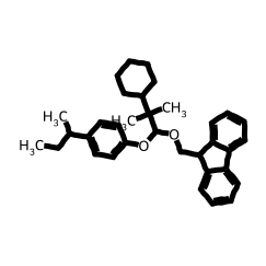 CCC(C)c1ccc(OC(OCC2c3ccccc3-c3ccccc32)C(C)(C)C2CCCCC2)cc1